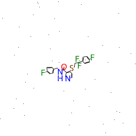 O=C(NCc1ccc(F)cc1)c1cnccc1SCCC(F)(F)c1ccc(F)cc1